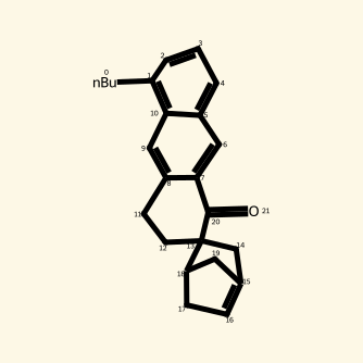 CCCCc1cccc2cc3c(cc12)CCC1(CC2=CCC1C2)C3=O